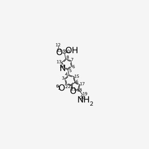 COc1cc(-c2ccc(C(O)OC)cn2)cc2cc(CN)oc12